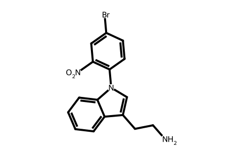 NCCc1cn(-c2ccc(Br)cc2[N+](=O)[O-])c2ccccc12